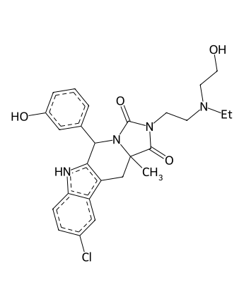 CCN(CCO)CCN1C(=O)N2C(c3cccc(O)c3)c3[nH]c4ccc(Cl)cc4c3CC2(C)C1=O